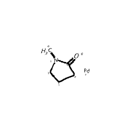 CN1CCCC1=O.[Pd]